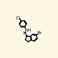 Clc1ccc(N/N=C2/CCc3ccc(Br)cc32)cc1